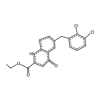 CCOC(=O)c1cc(=O)c2cc(Cc3cccc(Cl)c3Cl)ccc2[nH]1